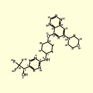 O[C@H](c1cnc(NC2CCC(Oc3cc(N4CCOCC4)cc4nccnc34)CC2)nc1)C(F)(F)F